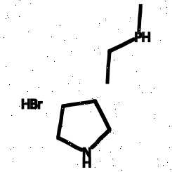 Br.C1CCNC1.CCPC